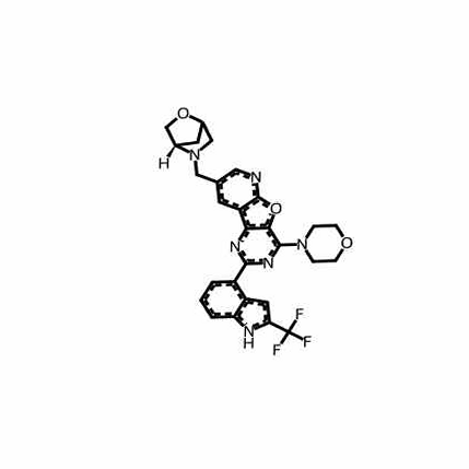 FC(F)(F)c1cc2c(-c3nc(N4CCOCC4)c4oc5ncc(CN6CC7C[C@H]6CO7)cc5c4n3)cccc2[nH]1